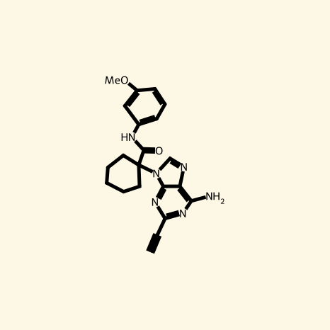 C#Cc1nc(N)c2ncn(C3(C(=O)Nc4cccc(OC)c4)CCCCC3)c2n1